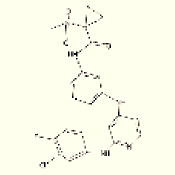 CS(=O)(=O)C1(C(=O)Nc2cccc(Nc3cc(Nc4ccc(F)c(Cl)c4)ncn3)c2)CC1